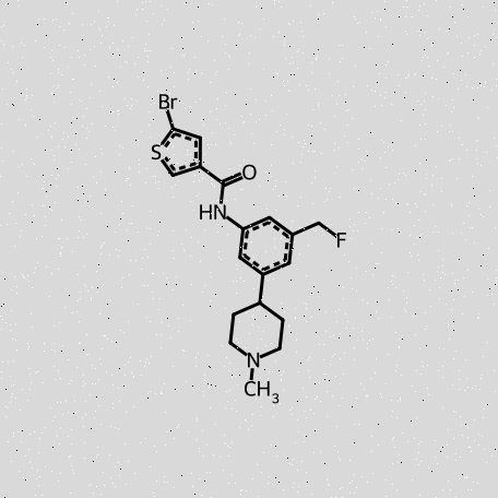 CN1CCC(c2cc(CF)cc(NC(=O)c3csc(Br)c3)c2)CC1